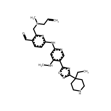 C=CCN(C)Cc1nc(Nc2cc(NC)c(-c3nc(C4(CC)CCNCC4)no3)cn2)ccc1C=O